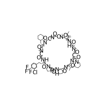 CC[C@H](C)[C@@H]1NC(=O)[C@H](C)N(C)C(=O)C[C@@H](C(=O)N2CCCCC2)N(C)C(=O)[C@H](C(C)C)N(C)C(=O)C2(CCCC2)NC(=O)[C@@H]2CCCN2C(=O)[C@H](CCc2ccc(C(F)(F)F)c(Cl)c2)NC(=O)CN(C)C(=O)[C@H](CC2CCCCC2)N(C)C(=O)CN(C)C(=O)CN(C)C1=O